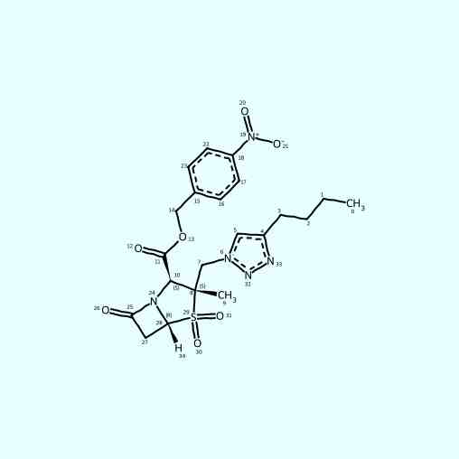 CCCCc1cn(C[C@@]2(C)[C@H](C(=O)OCc3ccc([N+](=O)[O-])cc3)N3C(=O)C[C@H]3S2(=O)=O)nn1